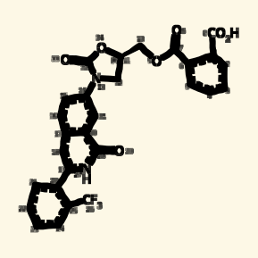 O=C(O)c1ccccc1C(=O)OC[C@H]1CN(c2ccc3cc(-c4ccccc4C(F)(F)F)[nH]c(=O)c3c2)C(=O)O1